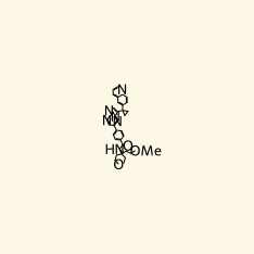 COCCC1(NC(=O)c2ccc(-c3cnc4ncc(C5(c6ccc7ncccc7c6)CC5)n4n3)cc2)CCOCC1